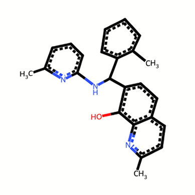 Cc1cccc(NC(c2ccccc2C)c2ccc3ccc(C)nc3c2O)n1